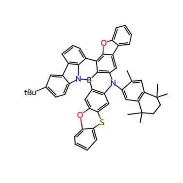 Cc1cc2c(cc1N1c3cc4c(cc3B3c5c1cc1c(oc6ccccc61)c5-c1cccc5c6cc(C(C)(C)C)ccc6n3c15)Oc1ccccc1S4)C(C)(C)CCC2(C)C